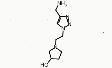 NCc1cn(CCN2CCC(O)C2)nn1